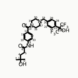 CC(C)(O)CCC(=O)Nc1ccc(C(=O)N2CCN(Cc3ccc(C(O)(C(F)(F)F)C(F)(F)F)cc3)CC2)cc1